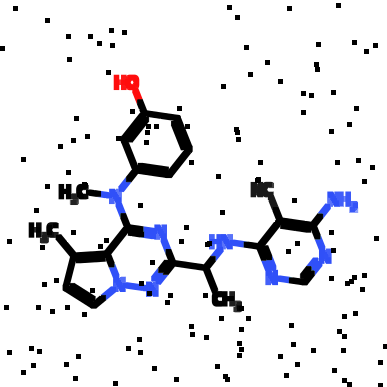 Cc1ccn2nc(C(C)Nc3ncnc(N)c3C#N)nc(N(C)c3cccc(O)c3)c12